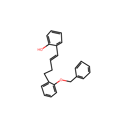 Oc1ccccc1C=CCCc1ccccc1OCc1ccccc1